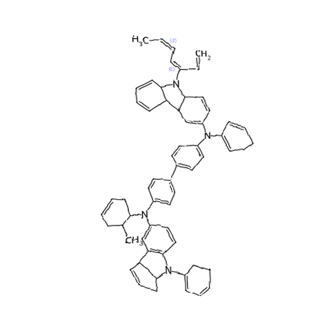 C=C/C(=C\C=C/C)N1C2C=CC=CC2C2C=C(N(C3=CCCC=C3)c3ccc(-c4ccc(N(c5ccc6c(c5)C5C=CCC5N6C5=CC=CCC5)C5CC=CCC5C)cc4)cc3)C=CC21